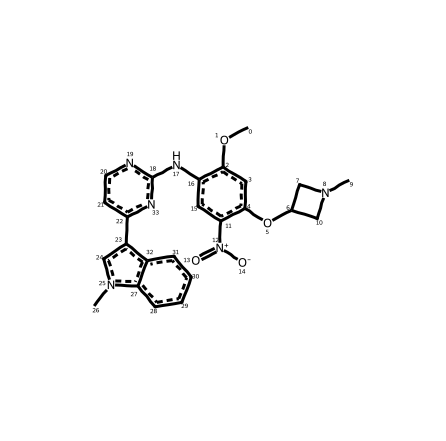 COc1cc(OC2CN(C)C2)c([N+](=O)[O-])cc1Nc1nccc(-c2cn(C)c3ccccc23)n1